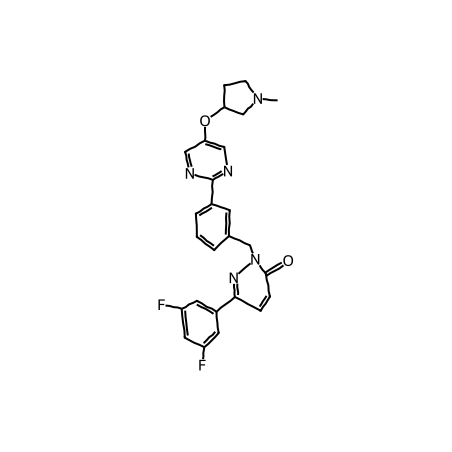 CN1CCC(Oc2cnc(-c3cccc(Cn4nc(-c5cc(F)cc(F)c5)ccc4=O)c3)nc2)C1